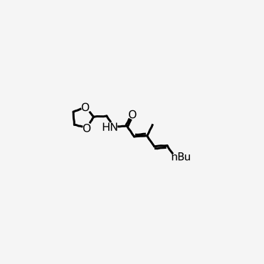 CCCC/C=C/C(C)=C/C(=O)NCC1OCCO1